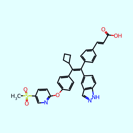 CS(=O)(=O)c1ccc(Oc2ccc(C(=C(c3ccc(C=CC(=O)O)cc3)c3ccc4[nH]ncc4c3)C3CCC3)cc2)nc1